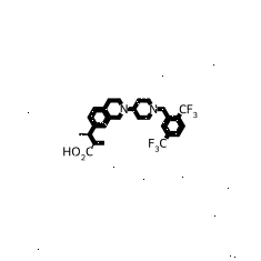 C[C@H](C(=O)O)[C@@H](C)c1ccc2c(c1)CN(C1CCN(Cc3cc(C(F)(F)F)ccc3C(F)(F)F)CC1)CC2